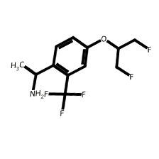 CC(N)c1ccc(OC(CF)CF)cc1C(F)(F)F